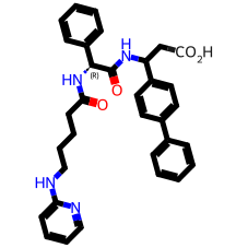 O=C(O)CC(NC(=O)[C@H](NC(=O)CCCCNc1ccccn1)c1ccccc1)c1ccc(-c2ccccc2)cc1